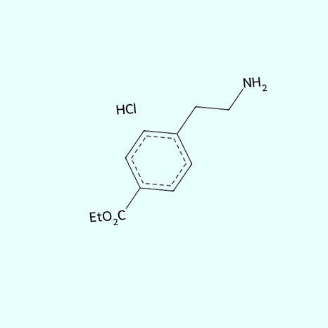 CCOC(=O)c1ccc(CCN)cc1.Cl